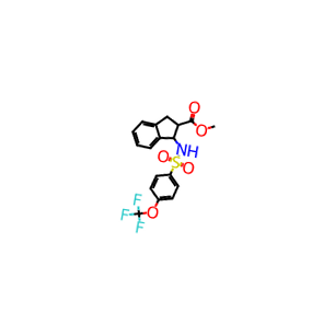 COC(=O)C1Cc2ccccc2C1NS(=O)(=O)c1ccc(OC(F)(F)F)cc1